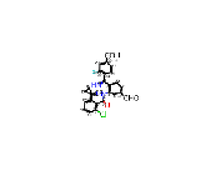 N=C(C1=C(NC(=O)c2c(Cl)cccc2C2(C(F)(F)F)CC2)CC(C=O)CC1)c1ccc(C(=O)O)cc1F